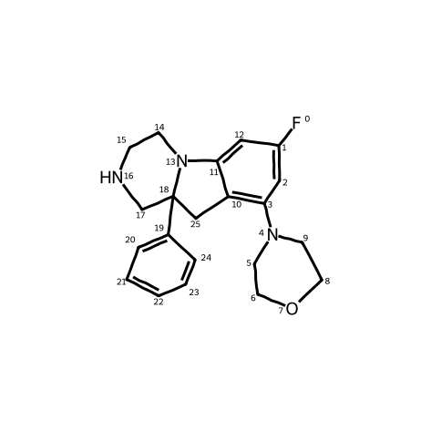 Fc1cc(N2CCOCC2)c2c(c1)N1CCNCC1(c1ccccc1)C2